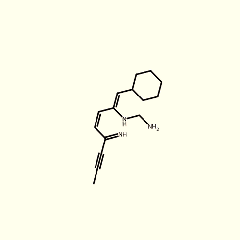 CC#CC(=N)/C=C\C(=C\C1CCCCC1)NCN